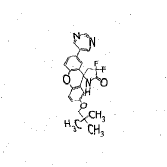 CC(C)(C)COc1ccc2c(c1)C1(CC(F)(F)C(=O)N1)c1cc(-c3cncnc3)ccc1O2